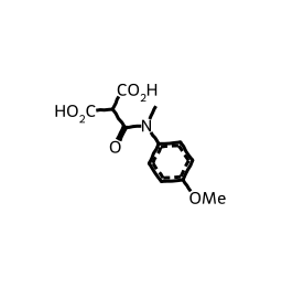 COc1ccc(N(C)C(=O)C(C(=O)O)C(=O)O)cc1